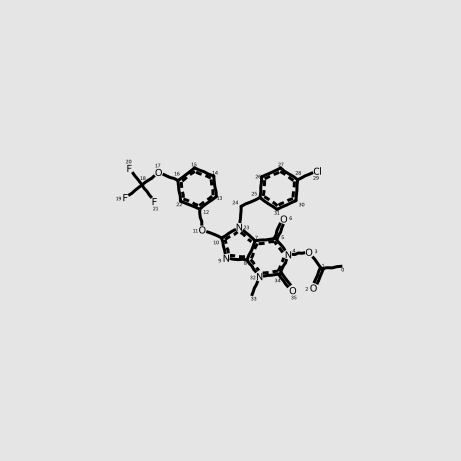 CC(=O)On1c(=O)c2c(nc(Oc3cccc(OC(F)(F)F)c3)n2Cc2ccc(Cl)cc2)n(C)c1=O